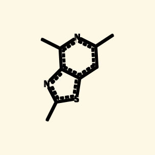 Cc1cc2sc(C)nc2c(C)n1